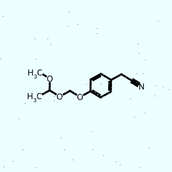 COC(C)OCOc1ccc(CC#N)cc1